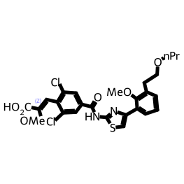 CCCOCCc1cccc(-c2csc(NC(=O)c3cc(Cl)c(/C=C(\OC)C(=O)O)c(Cl)c3)n2)c1OC